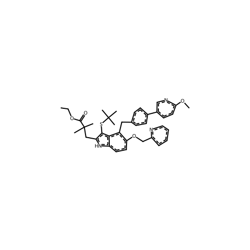 CCOC(=O)C(C)(C)Cc1[nH]c2ccc(OCc3ccccn3)c(Cc3ccc(-c4ccc(OC)nc4)cc3)c2c1SC(C)(C)C